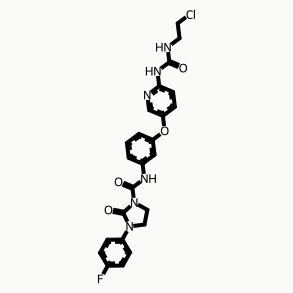 O=C(NCCCl)Nc1ccc(Oc2cccc(NC(=O)N3CCN(c4ccc(F)cc4)C3=O)c2)cn1